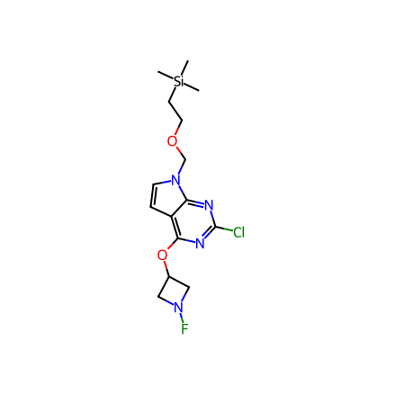 C[Si](C)(C)CCOCn1ccc2c(OC3CN(F)C3)nc(Cl)nc21